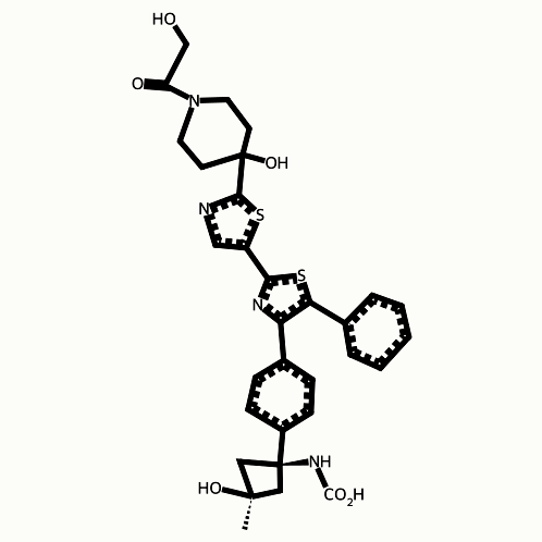 C[C@]1(O)C[C@](NC(=O)O)(c2ccc(-c3nc(-c4cnc(C5(O)CCN(C(=O)CO)CC5)s4)sc3-c3ccccc3)cc2)C1